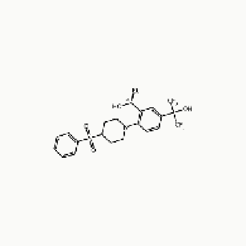 CC[C@H](O)c1cc(C(O)(C(F)(F)F)C(F)(F)F)ccc1N1CCC(S(=O)(=O)c2ccccc2)CC1